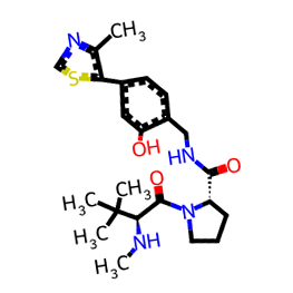 CN[C@H](C(=O)N1CCC[C@H]1C(=O)NCc1ccc(-c2scnc2C)cc1O)C(C)(C)C